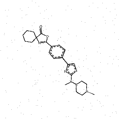 CN1CCN(N(C)c2nc(-c3ccc(C4=NC5(CCCCC5)C(=O)O4)cc3)cs2)CC1